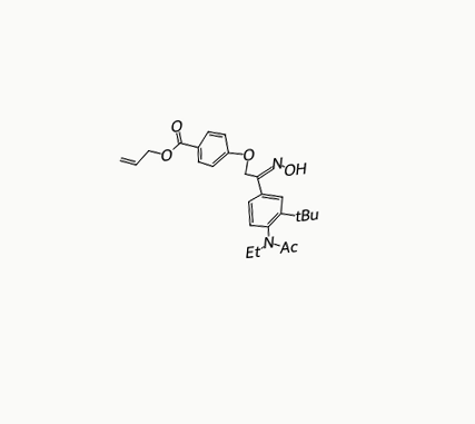 C=CCOC(=O)c1ccc(OCC(=NO)c2ccc(N(CC)C(C)=O)c(C(C)(C)C)c2)cc1